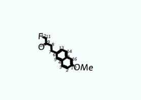 COc1ccc2cc(CCC(=O)CF)ccc2c1